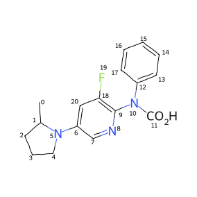 CC1CCCN1c1cnc(N(C(=O)O)c2ccccc2)c(F)c1